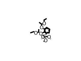 CCOC(C)Oc1cccc([Si](OC)(OC)OC)c1OC(C)OCC